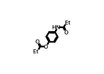 CCC(=O)Nc1ccc(OC(=O)CC)cc1